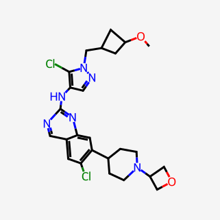 COC1CC(Cn2ncc(Nc3ncc4cc(Cl)c(C5CCN(C6COC6)CC5)cc4n3)c2Cl)C1